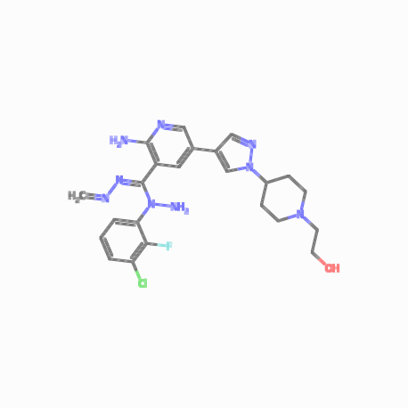 C=N/N=C(/c1cc(-c2cnn(C3CCN(CCO)CC3)c2)cnc1N)N(N)c1cccc(Cl)c1F